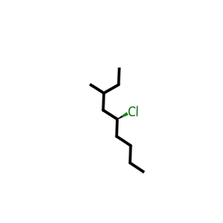 CCCC[C@H](Cl)CC(C)CC